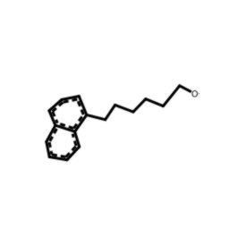 [O]CCCCCCc1cccc2ccccc12